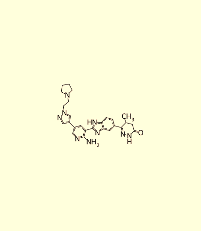 CC1CC(=O)NN=C1c1ccc2[nH]c(-c3cc(-c4cnn(CCN5CCCC5)c4)cnc3N)nc2c1